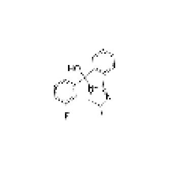 CC1CN2C(=N1)c1ccccc1C2(O)c1cccc(F)c1